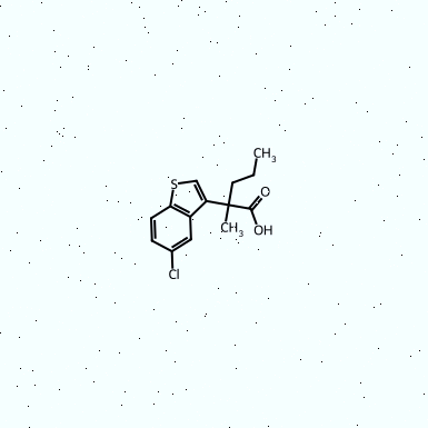 CCCC(C)(C(=O)O)c1csc2ccc(Cl)cc12